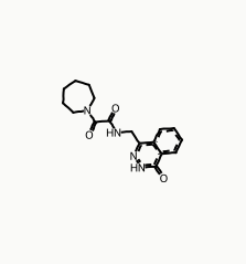 O=C(NCc1n[nH]c(=O)c2ccccc12)C(=O)N1CCCCCC1